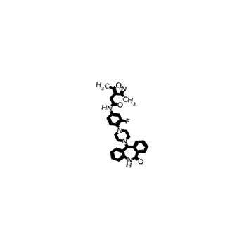 Cc1noc(C)c1CC(=O)Nc1ccc(N2CCN(C3c4ccccc4NC(=O)c4ccccc43)CC2)c(F)c1